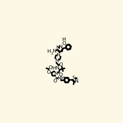 CC(=O)O[C@@H]1C[C@@H](C(=O)NCc2ccc(-c3scnc3C)cc2)N(C(=O)[C@@H](NC(=O)CN2CCN(c3cc(-c4ccccc4O)nnc3N)CC2)C(C)(C)C)C1